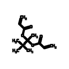 C=CC(=O)OC(C)(OC(=O)C=C)[N+](C)(C)C